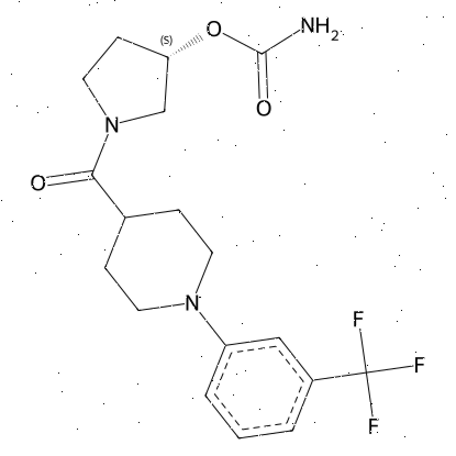 NC(=O)O[C@H]1CCN(C(=O)C2CCN(c3cccc(C(F)(F)F)c3)CC2)C1